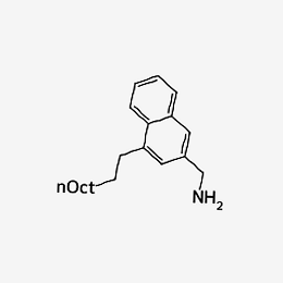 CCCCCCCCCCc1cc(CN)cc2ccccc12